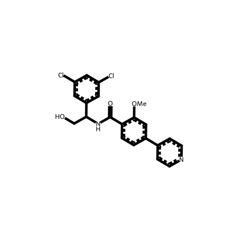 COc1cc(-c2ccncc2)ccc1C(=O)NC(CO)c1cc(Cl)cc(Cl)c1